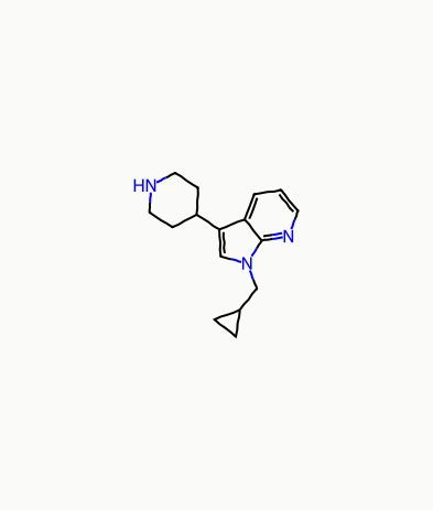 c1cnc2c(c1)c(C1CCNCC1)cn2CC1CC1